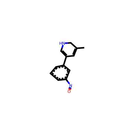 CC1=CC(c2cccc(N=O)c2)=CNC1